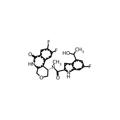 CC(O)c1cc(F)cc2[nH]c(C(=O)N(C)[C@@H]3COCc4[nH]c(=O)c5cc(F)c(F)cc5c43)cc12